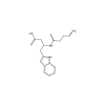 C=CCCC(=O)NC(CC(=O)O)Cc1cc2ccccc2[nH]1